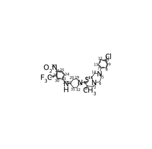 CC(CN1CCN(c2ccc(Cl)cc2)CC1)C(=S)N1CCC(Nc2ccc([N+](=O)[O-])c(C(F)(F)F)c2)CC1